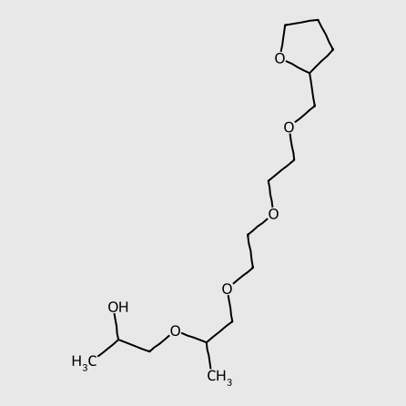 CC(O)COC(C)COCCOCCOCC1CCCO1